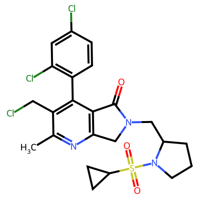 Cc1nc2c(c(-c3ccc(Cl)cc3Cl)c1CCl)C(=O)N(CC1CCCN1S(=O)(=O)C1CC1)C2